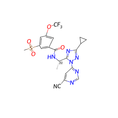 C[C@H](NC(=O)c1cc(OC(F)(F)F)cc(S(C)(=O)=O)c1)c1nc(C2CC2)nn1-c1cc(C#N)ncn1